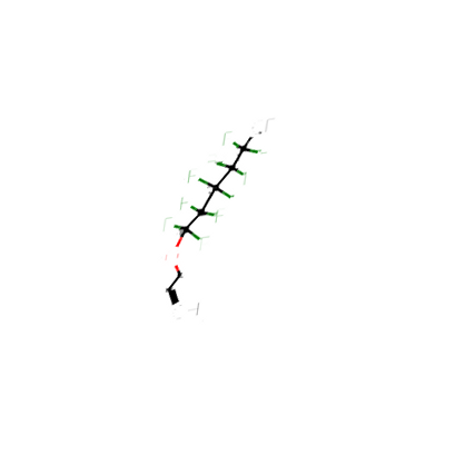 C=CCOC(F)(F)C(F)(F)C(F)(F)C(F)(F)C(F)(F)C(F)(F)F